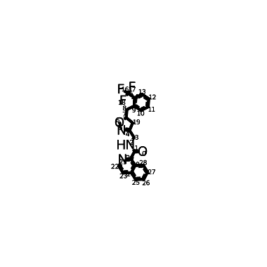 O=C(NCC1=NOC(Cc2ccccc2C(F)(F)F)C1)c1nccc2ccccc12